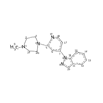 CN1CCN(c2cc(-n3ncc4ccccc43)ccn2)CC1